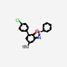 CC(C)(C)c1cc(-c2ccc(Cl)cc2)c2o[13c](-c3ccccc3)nc2c1